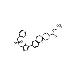 O=C(OCC(Cl)(Cl)Cl)N1CCC2(CCc3cc(-c4cnc(CS(=O)(=O)Cc5ccccc5)s4)ccc3O2)CC1